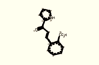 O=C(C=Cc1ccccc1C(=O)O)c1ccc[nH]1